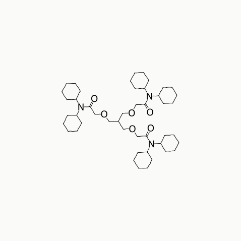 O=C(COCC(COCC(=O)N(C1CCCCC1)C1CCCCC1)COCC(=O)N(C1CCCCC1)C1CCCCC1)N(C1CCCCC1)C1CCCCC1